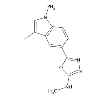 CNc1nnc(-c2ccc3c(c2)c(I)cn3P)o1